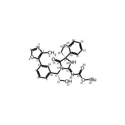 Cc1ncoc1-c1cccc([C@@H](CO)N2C(=O)[C@@](CC(C)C)(c3ccccc3)N/C2=N\C(=O)OC(C)(C)C)c1